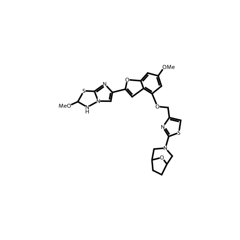 COc1cc(OCc2csc(N3CC4CCC(C3)O4)n2)c2cc(-c3cn4c(n3)SC(OC)N4)oc2c1